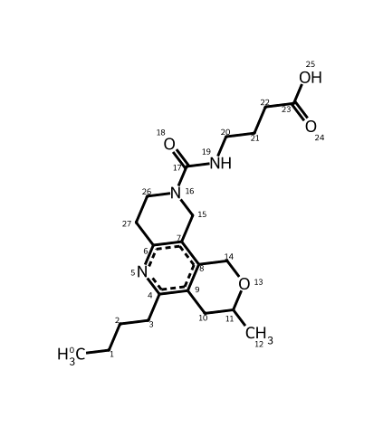 CCCCc1nc2c(c3c1CC(C)OC3)CN(C(=O)NCCCC(=O)O)CC2